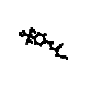 COC(=O)CNC1CCN(C(C)(C)C)CC1